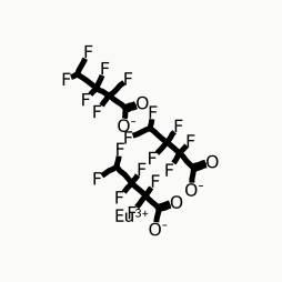 O=C([O-])C(F)(F)C(F)(F)C(F)F.O=C([O-])C(F)(F)C(F)(F)C(F)F.O=C([O-])C(F)(F)C(F)(F)C(F)F.[Eu+3]